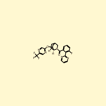 O=C(c1cccc(F)c1-c1ncccn1)N1CC2CC[C@H]1[C@H](Oc1cnc(C(F)(F)F)cn1)C2